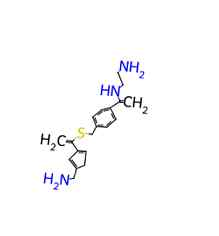 C=C(SCc1ccc(C(=C)NCCN)cc1)C1=CCC(CN)=C1